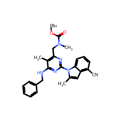 Cc1c(CN(C)C(=O)OC(C)(C)C)nc(-n2c(C)cc3c(C#N)cccc32)nc1NCc1ccccc1